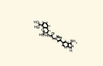 Nc1n[nH]c2ncc(-c3cn(CC(=O)N[C@H]4Cc5cccc(C(O)O)c5OB4O)nn3)cc12